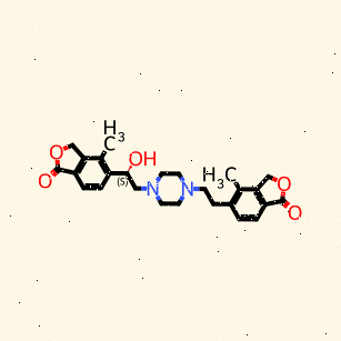 Cc1c(CCN2CCN(C[C@@H](O)c3ccc4c(c3C)COC4=O)CC2)ccc2c1COC2=O